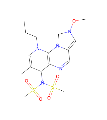 CCCN1C=C(C)C(N(S(C)(=O)=O)S(C)(=O)=O)C2=C1N1CN(OC)C=C1C=N2